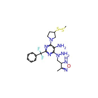 CSSC1CCN(c2nc(C(F)(F)c3ccccc3)nc(N(N)CC3NON=C3C)c2N)C1